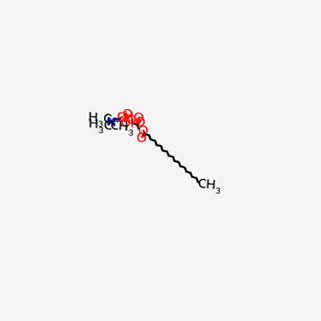 CCCCCCCCCCCCCCCCCCCC(=O)OCC(COP(=O)(O)OCC[N+](C)(C)C)OO